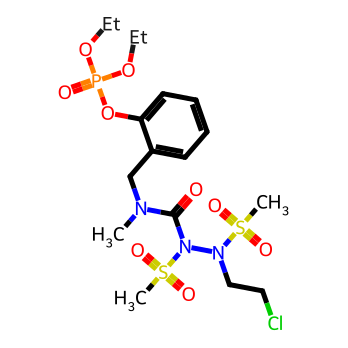 CCOP(=O)(OCC)Oc1ccccc1CN(C)C(=O)N(N(CCCl)S(C)(=O)=O)S(C)(=O)=O